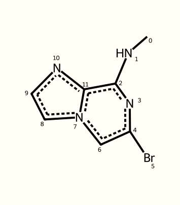 CNc1nc(Br)cn2ccnc12